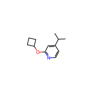 CC(C)c1ccnc(OC2CCC2)c1